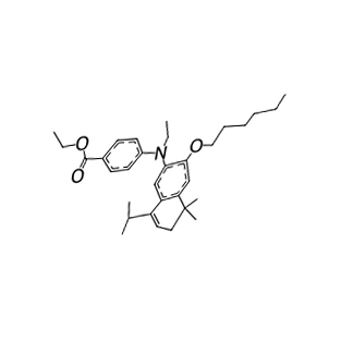 CCCCCCOc1cc2c(cc1N(CC)c1ccc(C(=O)OCC)cc1)C(C(C)C)=CCC2(C)C